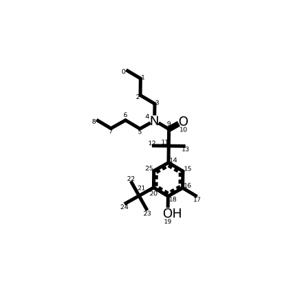 CCCCN(CCCC)C(=O)C(C)(C)c1cc(C)c(O)c(C(C)(C)C)c1